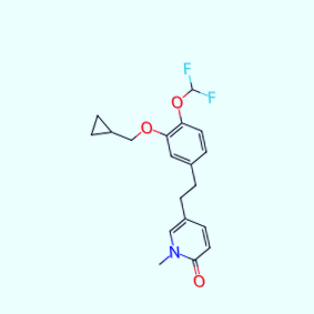 Cn1cc(CCc2ccc(OC(F)F)c(OCC3CC3)c2)ccc1=O